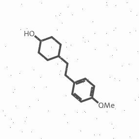 COc1ccc(CCC2CCC(O)CC2)cc1